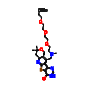 COCCOCCOCCOCCN(C)Cc1c2c(nc3sc4c(=O)[nH]cnc4c13)CC(C)(C)OC2